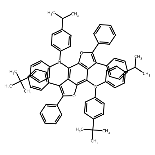 CC(C)c1ccc(N(c2ccc(C(C)(C)C)cc2)c2c3oc(-c4ccccc4)c(-c4ccccc4)c3c(N(c3ccc(C(C)C)cc3)c3ccc(C(C)(C)C)cc3)c3oc(-c4ccccc4)c(-c4ccccc4)c23)cc1